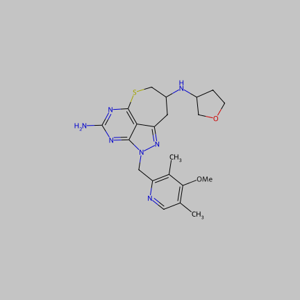 COc1c(C)cnc(Cn2nc3c4c(nc(N)nc42)SCC(NC2CCOC2)C3)c1C